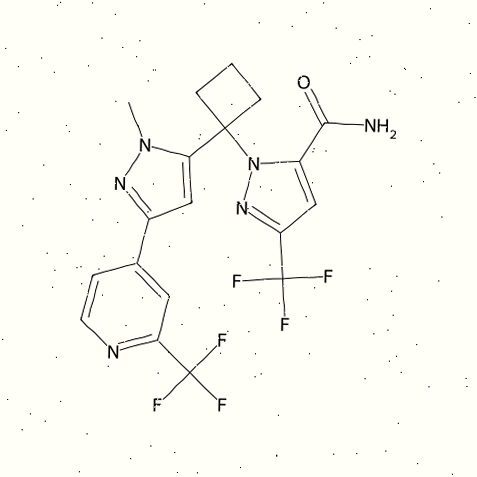 Cn1nc(-c2ccnc(C(F)(F)F)c2)cc1C1(n2nc(C(F)(F)F)cc2C(N)=O)CCC1